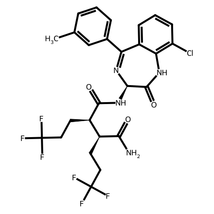 Cc1cccc(C2=N[C@H](NC(=O)[C@H](CCC(F)(F)F)[C@H](CCC(F)(F)F)C(N)=O)C(=O)Nc3c(Cl)cccc32)c1